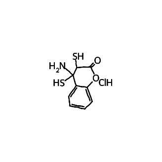 Cl.NC1(S)c2ccccc2OC(=O)C1S